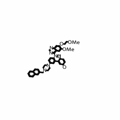 COCCOc1cc2ncnc(Nc3ccc(N4CCN(Cc5ccc6ccccc6c5)CC4)cc3C3=CC(=O)C=CC3=O)c2cc1OC